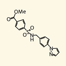 COC(=O)c1ccc(S(=O)(=O)NCc2ccc(-n3cccn3)cc2)cc1